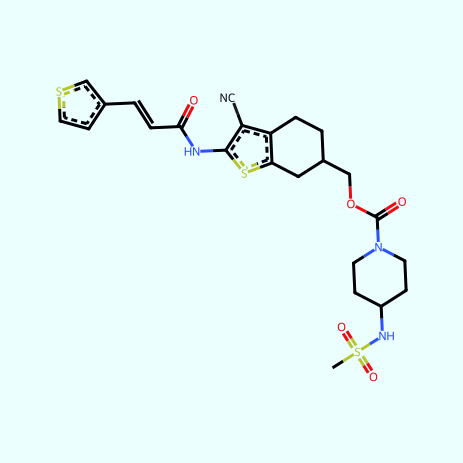 CS(=O)(=O)NC1CCN(C(=O)OCC2CCc3c(sc(NC(=O)C=Cc4ccsc4)c3C#N)C2)CC1